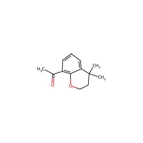 CC(=O)c1cccc2c1OCCC2(C)C